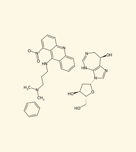 CN(C)CCCNc1c2ccccc2nc2cccc([N+](=O)[O-])c12.OC[C@H]1O[C@@H](n2cnc3c2NC=NC[C@H]3O)C[C@@H]1O.c1ccccc1